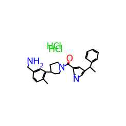 Cc1ccc(CN)cc1C1CCN(C(=O)c2cncc(C(C)c3ccccc3)c2)CC1.Cl.Cl